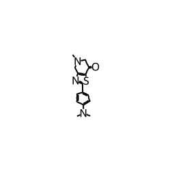 CN1CC(=O)c2sc(-c3ccc(N(C)C)cc3)nc2C1